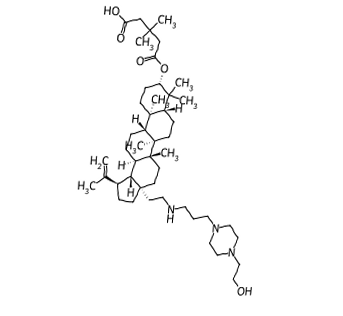 C=C(C)[C@@H]1CC[C@]2(CCNCCCN3CCN(CCO)CC3)CC[C@]3(C)[C@H](CC[C@@H]4[C@@]5(C)CC[C@H](OC(=O)CC(C)(C)CC(=O)O)C(C)(C)[C@@H]5CC[C@]43C)[C@@H]12